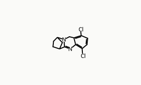 Clc1ccc(Cl)c2c1CN1C(=N2)C2CCC1C2